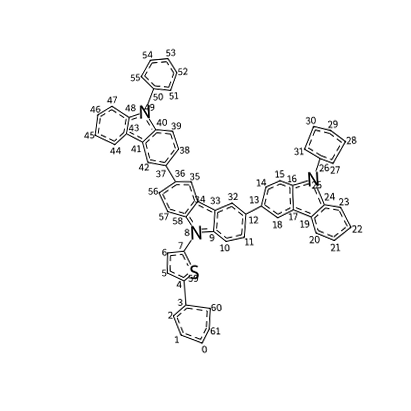 c1ccc(-c2ccc(-n3c4ccc(-c5ccc6c(c5)c5ccccc5n6-c5ccccc5)cc4c4cc(-c5ccc6c(c5)c5ccccc5n6-c5ccccc5)ccc43)s2)cc1